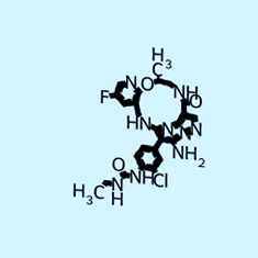 CCNC(=O)Nc1ccc(-c2c3nc4c(cnn4c2N)C(=O)NC[C@H](C)Oc2ncc(F)cc2CN3)cc1Cl